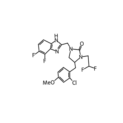 COc1ccc(CC2CN(Cc3nc4c(F)c(F)ccc4[nH]3)C(=O)N2CC(F)F)c(Cl)c1